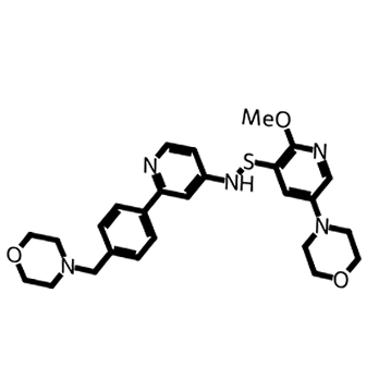 COc1ncc(N2CCOCC2)cc1SNc1ccnc(-c2ccc(CN3CCOCC3)cc2)c1